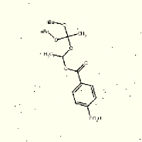 CCCCOC(C)(OCCCC)OC(C)OC(=O)c1ccc(C(=O)O)cc1